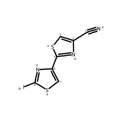 N#Cc1csc(-c2csc(I)n2)n1